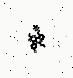 CCOC(=O)n1c(C(=O)c2ncccc2CO[Si](C)(C)C(C)(C)C)c(NC(=O)CC)c2ccc(Cl)cc21